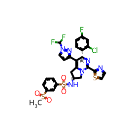 CS(=O)(=O)c1cccc(S(=O)(=O)N[C@H]2CC3=C(c4ccn(C(F)F)n4)[C@H](c4ccc(F)cc4Cl)N=C(c4nccs4)N3C2)c1